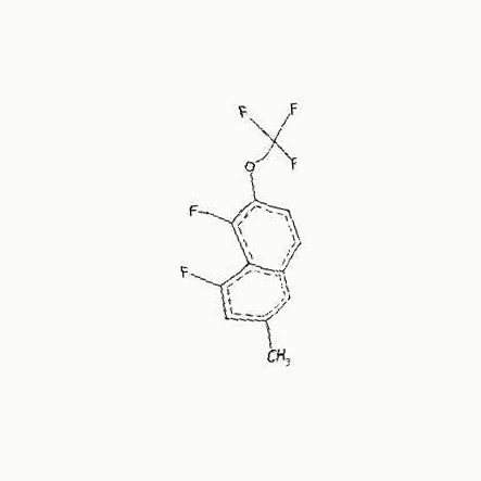 Cc1cc(F)c2c(F)c(OC(F)(F)F)ccc2c1